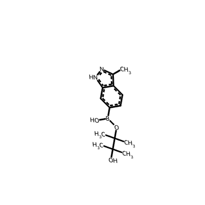 Cc1n[nH]c2cc(B(O)OC(C)(C)C(C)(C)O)ccc12